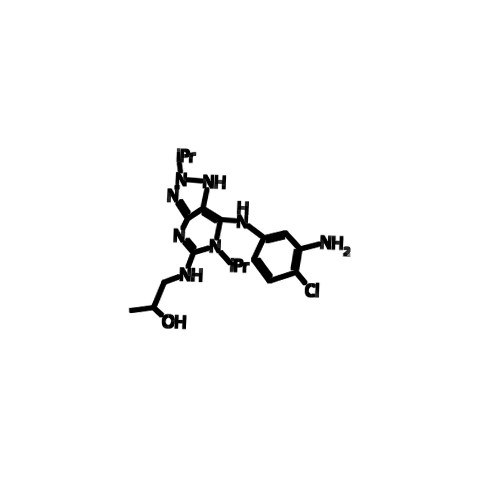 CC(O)CNC1=NC2=NN(C(C)C)NC2=C(Nc2ccc(Cl)c(N)c2)N1C(C)C